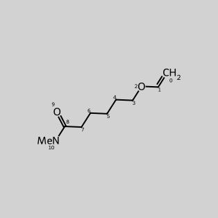 C=COCCCCCC(=O)NC